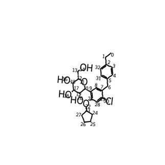 CCc1ccc(Cc2cc([C@@H]3O[C@H](CO)[C@@H](O)[C@H](O)[C@H]3O)c(OC3CCCC3)cc2Cl)cc1